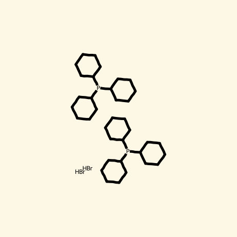 Br.Br.C1CCC(P(C2CCCCC2)C2CCCCC2)CC1.C1CCC(P(C2CCCCC2)C2CCCCC2)CC1